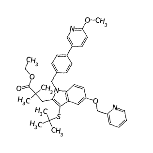 CCOC(=O)C(C)(C)Cc1c(SC(C)(C)C)c2cc(OCc3ccccn3)ccc2n1Cc1ccc(-c2ccc(OC)nc2)cc1